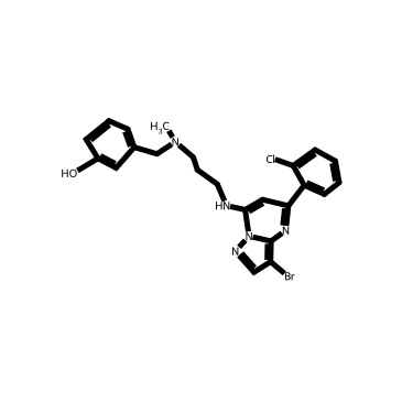 CN(CCCNc1cc(-c2ccccc2Cl)nc2c(Br)cnn12)Cc1cccc(O)c1